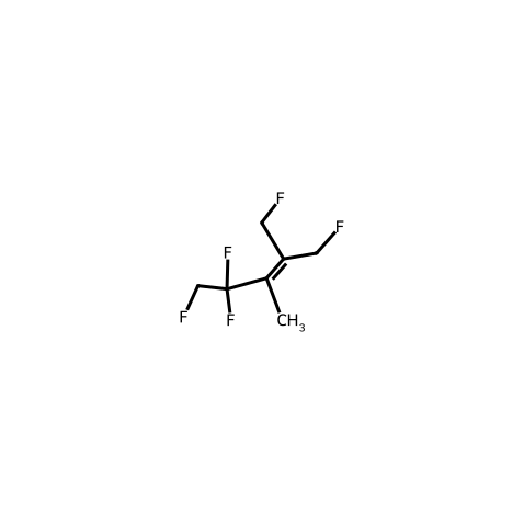 CC(=C(CF)CF)C(F)(F)CF